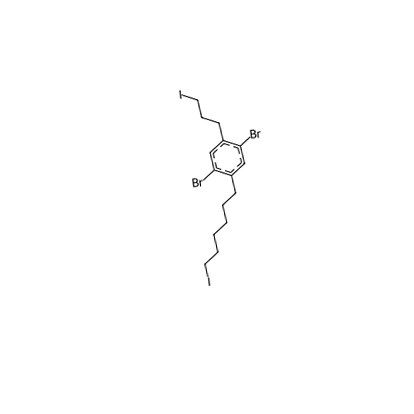 Brc1cc(CCCCCCI)c(Br)cc1CCCI